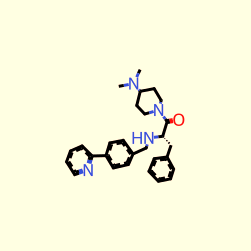 CN(C)C1CCN(C(=O)[C@H](Cc2ccccc2)NCc2ccc(-c3ccccn3)cc2)CC1